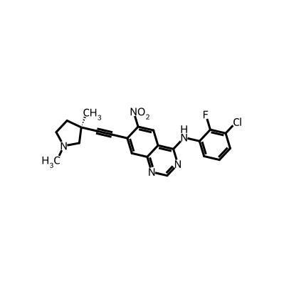 CN1CC[C@@](C)(C#Cc2cc3ncnc(Nc4cccc(Cl)c4F)c3cc2[N+](=O)[O-])C1